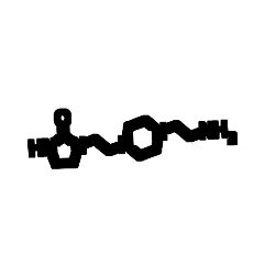 NCCN1CCN(CCN2CCNC2=O)CC1